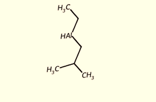 C[CH2][AlH][CH2]C(C)C